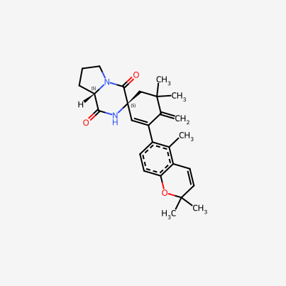 C=C1C(c2ccc3c(c2C)C=CC(C)(C)O3)=C[C@]2(CC1(C)C)NC(=O)[C@@H]1CCCN1C2=O